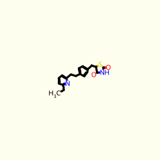 CCc1cccc(CCc2ccc(CC3SC(=O)NC3=O)cc2)n1